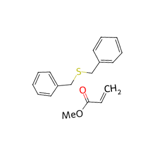 C=CC(=O)OC.c1ccc(CSCc2ccccc2)cc1